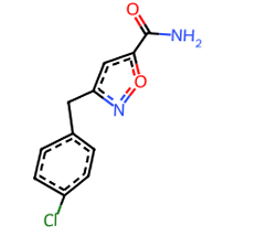 NC(=O)c1cc(Cc2ccc(Cl)cc2)no1